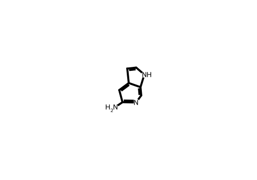 Nc1cc2cc[nH]c2cn1